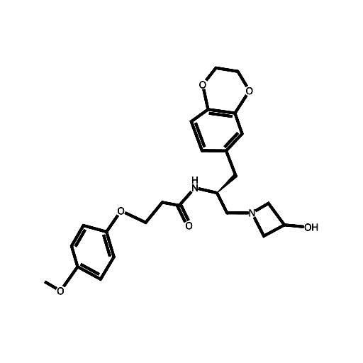 COc1ccc(OCCC(=O)N[C@@H](Cc2ccc3c(c2)OCCO3)CN2CC(O)C2)cc1